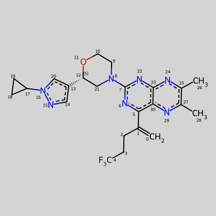 C=C(CCC(F)(F)F)c1nc(N2CCO[C@@H](c3cnn(C4CC4)c3)C2)nc2nc(C)c(C)nc12